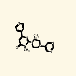 C[C@@H]1CN(c2cncnc2)CCN1c1nc(-c2ccncc2)cc(=O)n1C